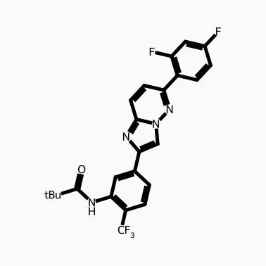 CC(C)(C)C(=O)Nc1cc(-c2cn3nc(-c4ccc(F)cc4F)ccc3n2)ccc1C(F)(F)F